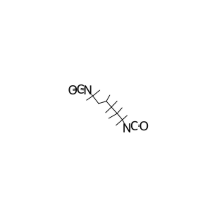 CC(CC(C)(C)N=C=O)C(C)(C)C(C)(C)C(C)(C)N=C=O